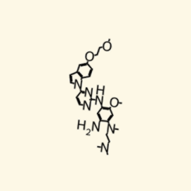 COCCOc1ccc2c(ccn2-c2ccnc(Nc3cc(N)c(N(C)CCN(C)C)cc3OC)n2)c1